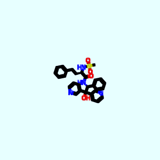 CS(=O)(=O)N[C@H](CCc1ccccc1)C(=O)N[C@H](c1ccccc1)C(O)(c1cccnc1)c1cccnc1